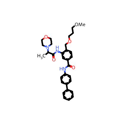 COCCCOCc1ccc(C(=O)Nc2ccc(-c3ccccc3)cc2)cc1NC(=O)C(C)N1CCOCC1